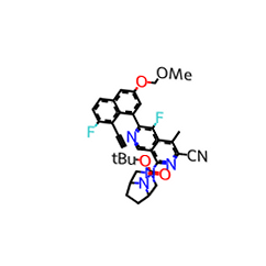 C#Cc1c(F)ccc2cc(OCOC)cc(-c3ncc4c(N5CC6CCC(C5)N6C(=O)OC(C)(C)C)nc(C#N)c(C)c4c3F)c12